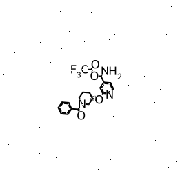 NC(OC(=O)C(F)(F)F)c1ccnc(O[C@H]2CCCN(C(=O)c3ccccc3)C2)c1